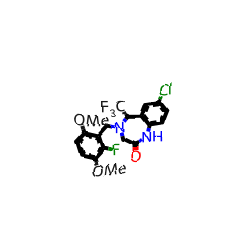 COc1ccc(OC)c(CN2CC(=O)Nc3ccc(Cl)cc3C2C(F)(F)F)c1F